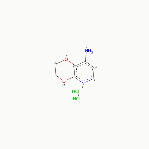 Cl.Cl.Nc1ccnc2c1OCCO2